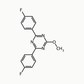 COc1nc(-c2ccc(F)cc2)nc(-c2ccc(F)cc2)n1